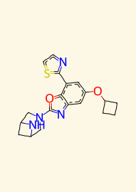 c1csc(-c2cc(OC3CCC3)cc3nc(N4CC5CC(C4)N5)oc23)n1